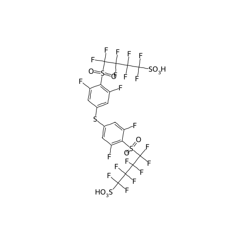 O=S(=O)(O)C(F)(F)C(F)(F)C(F)(F)C(F)(F)S(=O)(=O)c1c(F)cc(Sc2cc(F)c(S(=O)(=O)C(F)(F)C(F)(F)C(F)(F)C(F)(F)S(=O)(=O)O)c(F)c2)cc1F